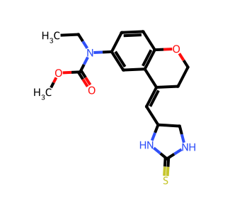 CCN(C(=O)OC)c1ccc2c(c1)/C(=C/C1CNC(=S)N1)CCO2